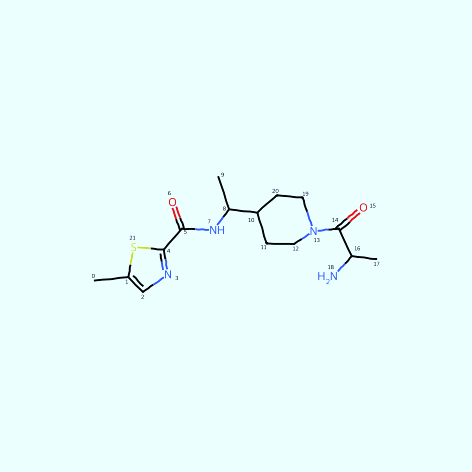 Cc1cnc(C(=O)NC(C)C2CCN(C(=O)C(C)N)CC2)s1